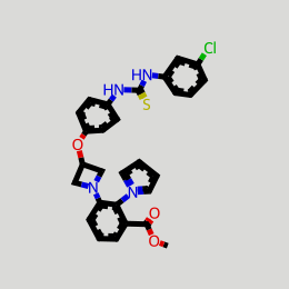 COC(=O)c1cccc(N2CC(Oc3ccc(NC(=S)Nc4cccc(Cl)c4)cc3)C2)c1-n1cccc1